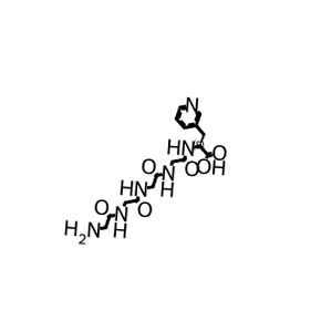 NCC(=O)NCC(=O)NCC(=O)NCC(=O)N[C@@H](Cc1cccnc1)C(=O)O